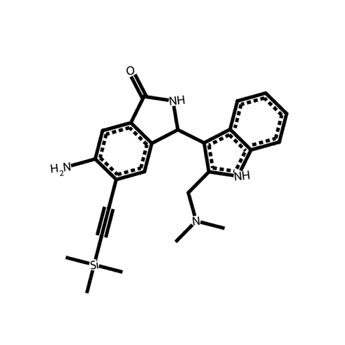 CN(C)Cc1[nH]c2ccccc2c1C1NC(=O)c2cc(N)c(C#C[Si](C)(C)C)cc21